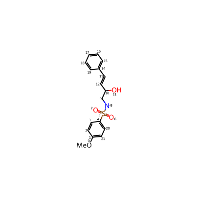 COc1ccc(S(=O)(=O)[N]CC(O)/C=C/c2ccccc2)cc1